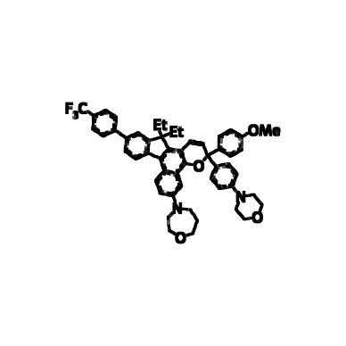 CCC1(CC)c2cc(-c3ccc(C(F)(F)F)cc3)ccc2-c2c1c1c(c3cc(N4CCCOCC4)ccc23)OC(c2ccc(OC)cc2)(c2ccc(N3CCOCC3)cc2)C=C1